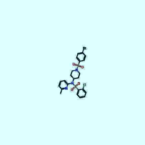 CCc1ccc(S(=O)(=O)N2CCC(N(c3cccc(C)n3)S(=O)(=O)c3ccccc3Cl)CC2)cc1